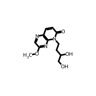 COc1cnc2ccc(=O)n(CCC(O)CO)c2n1